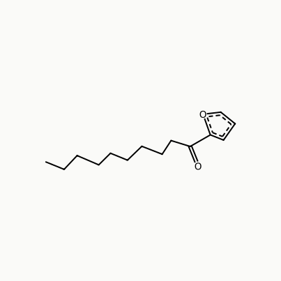 CCCCCCCCCC(=O)c1ccco1